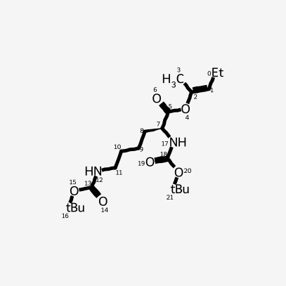 CC/C=C(\C)OC(=O)[C@H](CCCCNC(=O)OC(C)(C)C)NC(=O)OC(C)(C)C